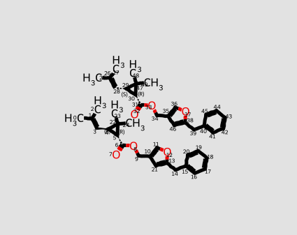 CC(C)=C[C@@H]1[C@@H](C(=O)OCc2coc(Cc3ccccc3)c2)C1(C)C.CC(C)=C[C@H]1[C@@H](C(=O)OCc2coc(Cc3ccccc3)c2)C1(C)C